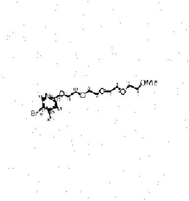 COCCOCCOCCOCCOc1cc(C)c(Br)cn1